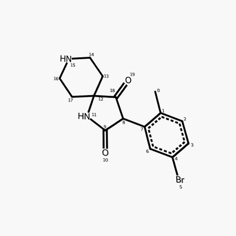 Cc1ccc(Br)cc1C1C(=O)NC2(CCNCC2)C1=O